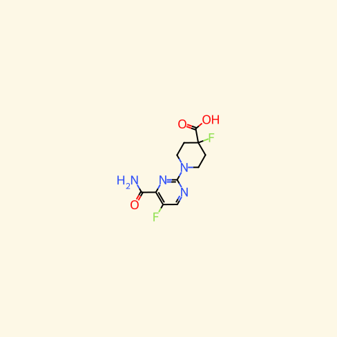 NC(=O)c1nc(N2CCC(F)(C(=O)O)CC2)ncc1F